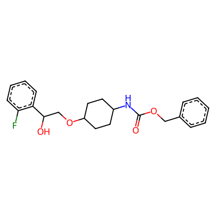 O=C(NC1CCC(OCC(O)c2ccccc2F)CC1)OCc1ccccc1